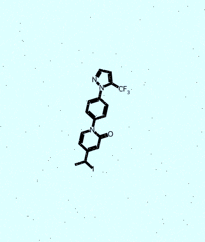 CC(I)c1ccn(-c2ccc(-n3nccc3C(F)(F)F)cc2)c(=O)c1